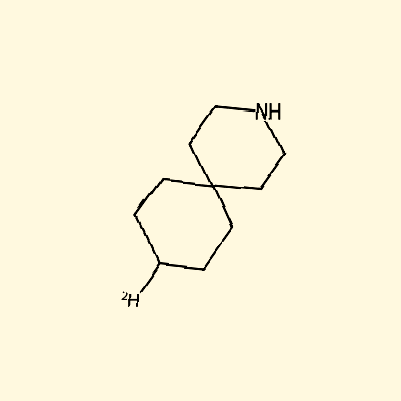 [2H]C1CCC2(CCNCC2)CC1